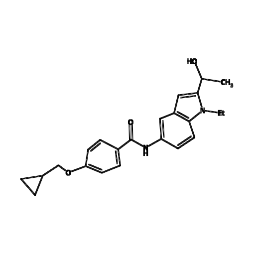 CCn1c(C(C)O)cc2cc(NC(=O)c3ccc(OCC4CC4)cc3)ccc21